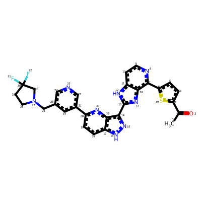 CC(=O)c1ccc(-c2nccc3[nH]c(-c4n[nH]c5ccc(-c6cncc(CN7CCC(F)(F)C7)c6)nc45)nc23)s1